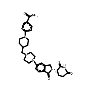 NC(=O)c1ccc(N2CCC(CN3CCN(c4ccc5c(c4)CN([C@H]4CCC(=O)NC4=O)C5=O)CC3)CC2)nc1